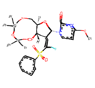 CCOc1ccn([C@H]2O[C@@H]3CO[Si](C(C)C)(C(C)C)O[Si](C(C)C)(C(C)C)O[C@H]3/C2=C(/F)S(=O)(=O)c2ccccc2)c(=O)n1